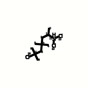 CC(CC(C)(C)CC(C)(C)Cl)[SiH](Cl)Cl